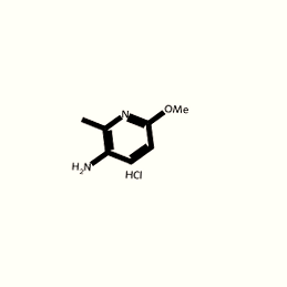 COc1ccc(N)c(C)n1.Cl